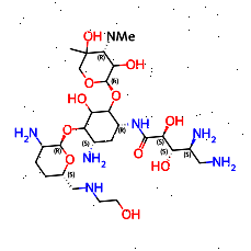 CN[C@@H]1C(O)[C@@H](OC2C(O)C(O[C@H]3O[C@H](CNCCO)CCC3N)[C@@H](N)C[C@H]2NC(=O)[C@@H](O)[C@@H](O)[C@@H](N)CN)OCC1(C)O